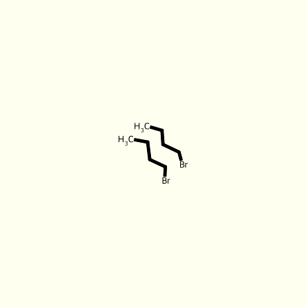 CCCCBr.CCCCBr